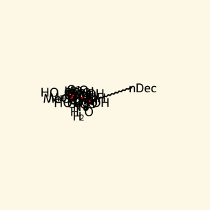 CCCCCCCCCCCCCCCCCCCCCCCCCCCCCC(O)CC(=O)N[C@H](Cc1ccccc1)C(=O)N[C@@H](C(=O)N[C@H](C)C(=O)N[C@@H](C)COC1O[C@@H](C)[C@H](OC)[C@@H](OC)[C@H]1O)[C@@H](C)OC1O[C@@H](C)[C@@H](O)[C@@H](O)[C@H]1O[C@@H]1O[C@@H](C)[C@H](O)[C@@H](O[C@@H]2O[C@@H]3CO[C@](C)(C(=O)O)O[C@H]3[C@H](OC)[C@H]2O)[C@H]1O.O